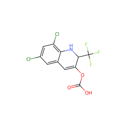 O=C(O)OC1=Cc2cc(Cl)cc(Cl)c2NC1C(F)(F)F